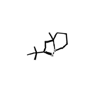 CC(C)(C)C1=NN2CCCCC2(C)C1